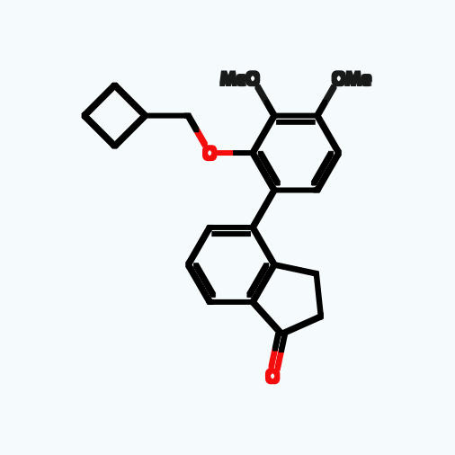 COc1ccc(-c2cccc3c2CCC3=O)c(OCC2CCC2)c1OC